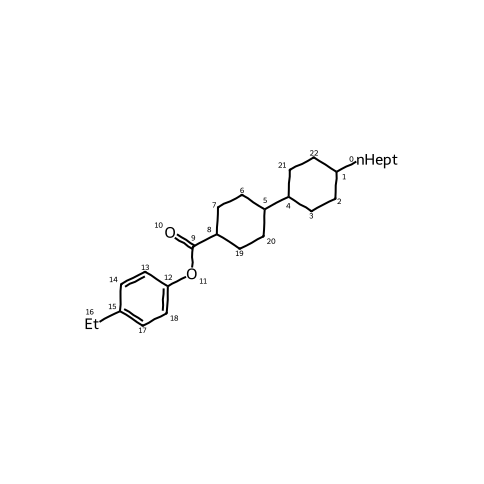 CCCCCCCC1CCC(C2CCC(C(=O)Oc3ccc(CC)cc3)CC2)CC1